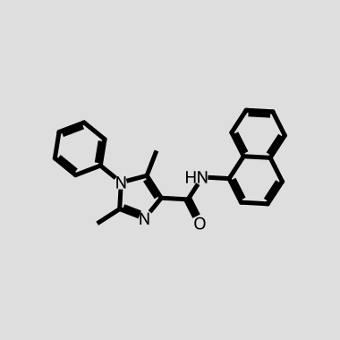 Cc1nc(C(=O)Nc2cccc3ccccc23)c(C)n1-c1ccccc1